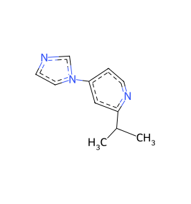 CC(C)c1cc(-n2ccnc2)ccn1